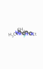 CCN1CCC(c2ccc3cc(-c4cc(C)c5nc(C)cn5n4)cc(F)c3n2)CC1